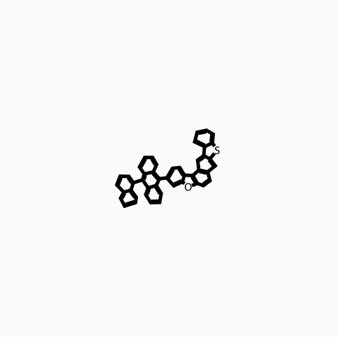 c1ccc2c(-c3c4ccccc4c(-c4ccc5c(c4)oc4ccc6cc7sc8ccccc8c7cc6c45)c4ccccc34)cccc2c1